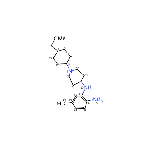 COCC1CCC(N2CCC(Nc3cc(C)ccc3N)CC2)CC1